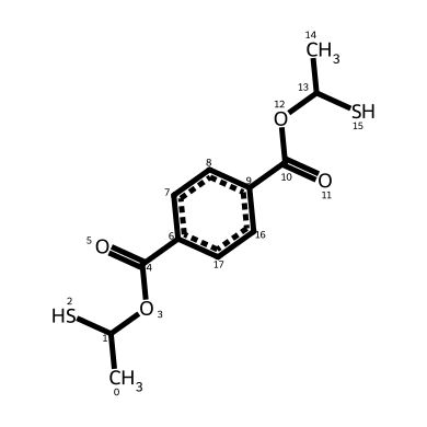 CC(S)OC(=O)c1ccc(C(=O)OC(C)S)cc1